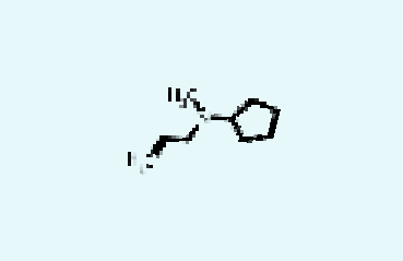 C=CCN(C)C1CCCC1